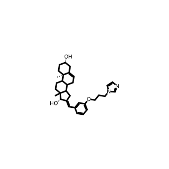 CC12CCC3C(CC=C4C[C@@H](O)CC[C@@]43C)C1C/C(=C\c1cccc(OCCCn3ccnc3)c1)[C@@H]2O